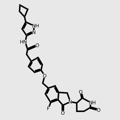 O=C1CCC(N2Cc3cc(COc4ccc(CC(=O)Nc5cc(C6CCC6)[nH]n5)cc4)cc(F)c3C2=O)C(=O)N1